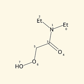 CCN(CC)C(=O)COO